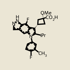 CO[C@]1(C(=O)O)C[C@H](c2c(C(C)C)n(-c3ccc(F)c(C)c3)c3cc4cn[nH]c4c(F)c32)C1